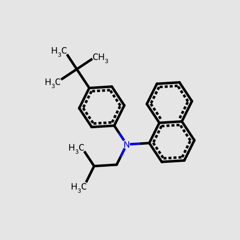 CC(C)CN(c1ccc(C(C)(C)C)cc1)c1cccc2ccccc12